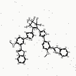 COc1ccc(-c2cc(C3=C(c4csc(-c5ccc(OC)c(C6=Nc7ccccc7C6)c5)c4)C(F)(F)C(F)(F)C3(F)F)cs2)cc1C1=Nc2ccccc2C1